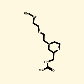 CC(C)(C)NCCOCCN1CCOC(CNC(=O)C(C)(C)C)C1